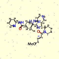 COC/C=C/C(=O)N1CCCC[C@H]1C1=C2C=NC=C[N+]2(N)C(c2ccc(C(=O)Nc3ccccn3)cc2C)=N1